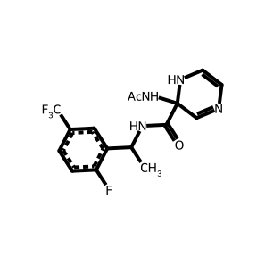 CC(=O)NC1(C(=O)NC(C)c2cc(C(F)(F)F)ccc2F)C=NC=CN1